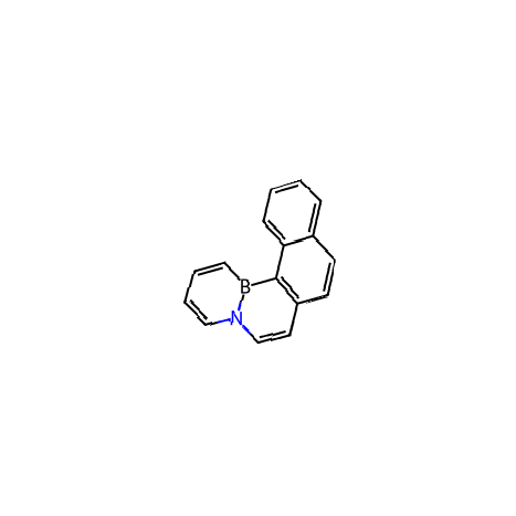 C1=CB2c3c(ccc4ccccc34)C=CN2C=C1